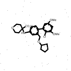 COc1cc(OC)c(Cl)c(-c2ccc(NC3(C(=O)O)CCOCC3)cc2COC2CCCC2)c1